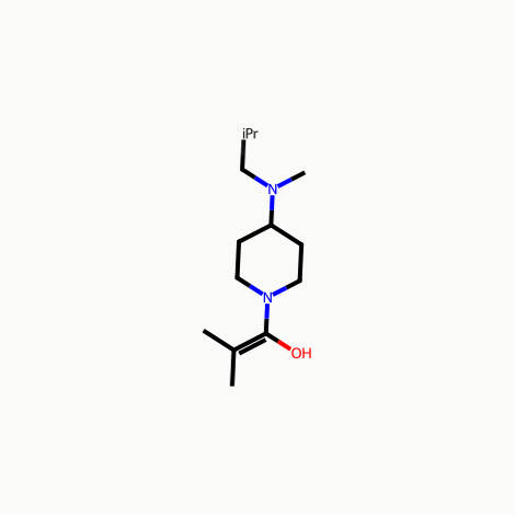 CC(C)=C(O)N1CCC(N(C)CC(C)C)CC1